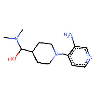 CN(C)C(O)C1CCN(c2ccncc2N)CC1